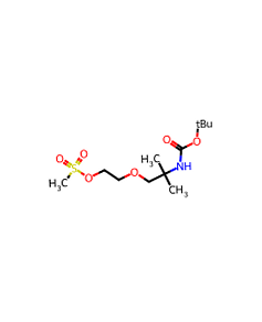 CC(C)(COCCOS(C)(=O)=O)NC(=O)OC(C)(C)C